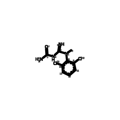 CN(C(=N)NC(N)=O)c1c(Cl)cccc1Cl